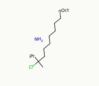 CCCCCCCCCCCCCCCC(C)(Cl)C(C)C.N